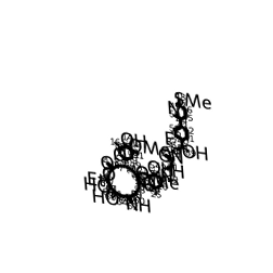 CC[C@H]1OC(=O)[C@H](C)C([C@H]2C[C@@](C)(OC)[C@@H](O)[C@H](C)O2)[C@H](C)[C@@H](O[C@@H]2O[C@H](C)C[C@H](N(C)CCC(=O)N[C@H](CF)[C@H](O)c3ccc(-c4ccc(SC)nc4)cc3)[C@H]2O)[C@](C)(OC)C[C@@H](C)C(=N)[C@H](C)[C@@H](O)[C@]1(C)O